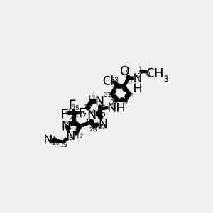 CCNC(=O)c1ccc(Nc2nccn3c(-c4cn(CC#N)nc4C(F)(F)F)cnc23)cc1Cl